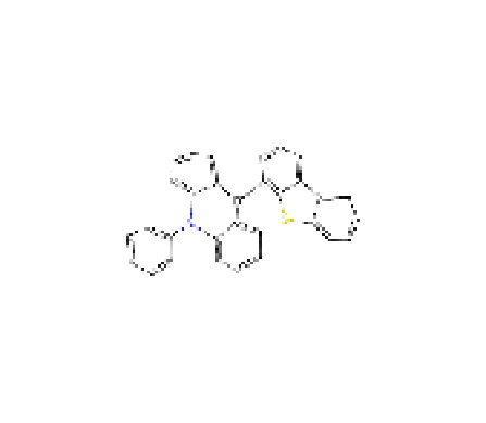 c1ccc(N2c3ccccc3B(c3cccc4c3sc3ccccc34)c3ccccc32)cc1